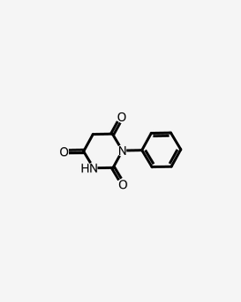 O=C1CC(=O)N(c2ccccc2)C(=O)N1